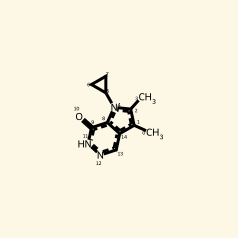 Cc1c(C)n(C2CC2)c2c(=O)[nH]ncc12